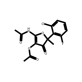 CC(=O)NC1=C(OC(C)=O)C(=O)C(C)(c2c(F)cccc2Cl)O1